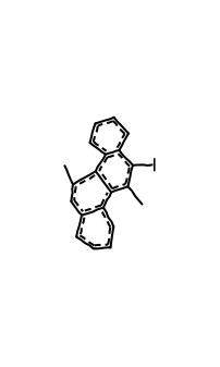 Cc1c(I)c2ccccc2c2c(C)cc3ccccc3c12